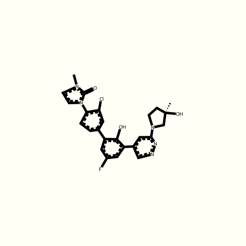 Cn1ccn(-c2ccc(-c3cc(F)cc(-c4cnnc(N5CC[C@@](C)(O)C5)c4)c3O)cc2Cl)c1=O